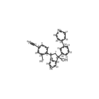 N#Cc1ccc([C@H]2C[C@](O)(c3cccc(-c4ccncc4)c3)c3cncn32)c(F)c1